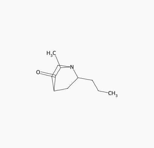 CCCC1CC2CCN1C(C)C2=O